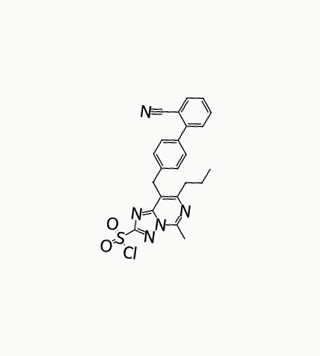 CCCc1nc(C)n2nc(S(=O)(=O)Cl)nc2c1Cc1ccc(-c2ccccc2C#N)cc1